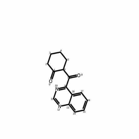 O=C1CCCCC1C(=O)c1ncnc2ccccc12